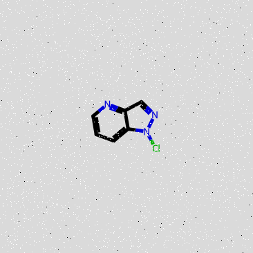 Cln1ncc2ncccc21